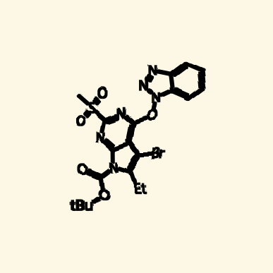 CCc1c(Br)c2c(On3nnc4ccccc43)nc(S(C)(=O)=O)nc2n1C(=O)OC(C)(C)C